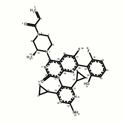 C=CC(=O)N1CCN(c2nc(=O)n(-c3c(C4CC4)nc(N)nc3C3CC3)c3nc(-c4c(O)cccc4F)c(F)cc23)[C@@H](C)C1